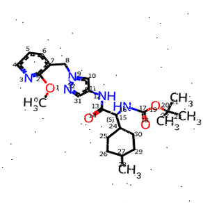 COc1ncccc1Cn1cc(NC(=O)[C@@H](NC(=O)OC(C)(C)C)C2CCC(C)CC2)cn1